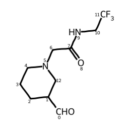 O=CC1CCCN(CC(=O)NCC(F)(F)F)C1